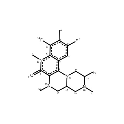 Cc1c(F)cc2c3c(c(=O)n(C)c2c1F)N(C)CC1CN(C)C(C)CN31